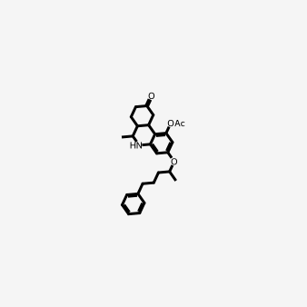 CC(=O)Oc1cc(OC(C)CCCc2ccccc2)cc2c1C1CC(=O)CCC1C(C)N2